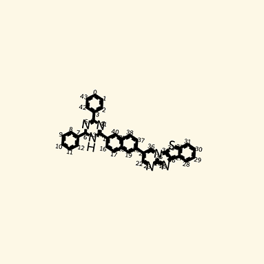 c1ccc(C2=NC(c3ccccc3)NC(c3ccc4cc(-c5cnc6nc7c8ccccc8sc7n6c5)ccc4c3)=N2)cc1